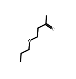 CCCOCCC(C)=O